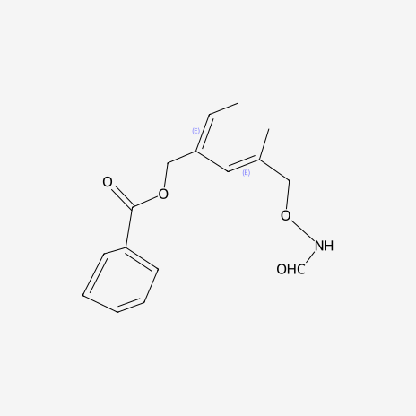 C/C=C(\C=C(/C)CONC=O)COC(=O)c1ccccc1